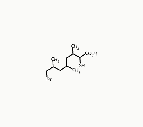 CC(C)CC(C)CC(C)CC(C)C(S)C(=O)O